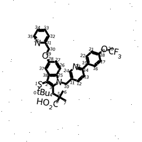 CC(C)(C)Sc1c(CC(C)(C)C(=O)O)n(Cc2ccc(-c3ccc(OC(F)(F)F)cc3)nc2)c2ccc(OCc3ccccn3)cc12